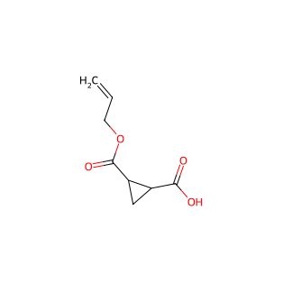 C=CCOC(=O)C1CC1C(=O)O